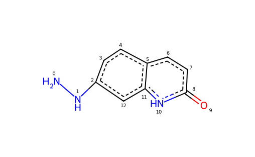 NNc1ccc2ccc(=O)[nH]c2c1